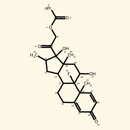 CCCC(=O)OCC(=O)C1(O)C(C)CC2C3CCC4=CC(=O)C=CC4(C)C3(F)C(O)CC21C